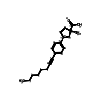 CCCCCCC#Cc1ccc([C@H]2CCC(N)(C(=O)O)C2)cc1